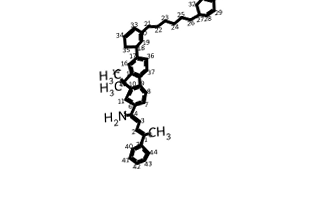 C/C(=C\C=C(/N)c1ccc2c(c1)C(C)(C)c1cc(C3C=C(CCCCCCC4C=CC=CC4)C=CC3)ccc1-2)c1ccccc1